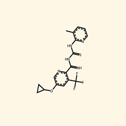 Cc1cccnc1NC(=S)NC(=N)c1ncc(OC2CC2)cc1C(F)(F)F